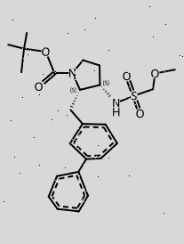 COCS(=O)(=O)N[C@H]1CCN(C(=O)OC(C)(C)C)[C@H]1Cc1cccc(-c2ccccc2)c1